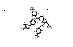 CCc1nc2ccc(C(c3ccc(Cl)cc3)c3ccc(Cl)cc3)cc2n1CCc1ccc(C(F)(F)F)cc1.O=C(O)C(F)(F)F